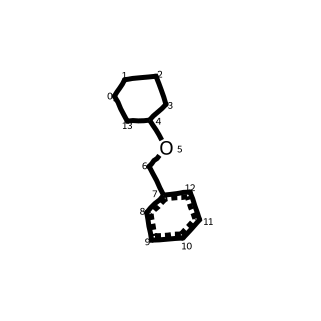 [CH]1CCCC(OCc2ccccc2)C1